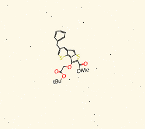 COC(=O)c1sc2cc3cc(Cc4ccccc4)csc-3c2c1OCC(=O)OC(C)(C)C